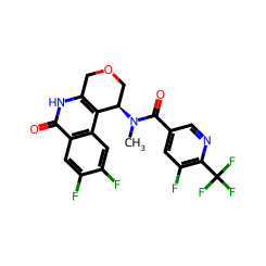 CN(C(=O)c1cnc(C(F)(F)F)c(F)c1)[C@@H]1COCc2[nH]c(=O)c3cc(F)c(F)cc3c21